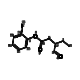 CCC(C=O)CC(=O)Oc1ccccc1F